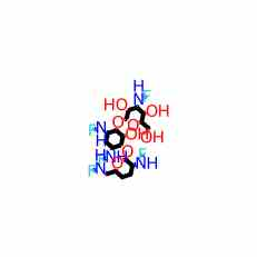 OCC1OC(OC2C(NF)CC(NF)C(OC3OC(CNF)CCC3NF)C2O)C(O)C(NF)C1O